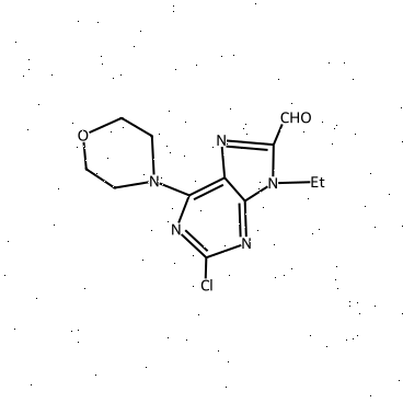 CCn1c(C=O)nc2c(N3CCOCC3)nc(Cl)nc21